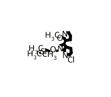 COc1ncccc1-c1cn(COCC[Si](C)(C)C)c2nc(Cl)ccc12